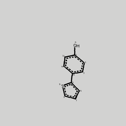 Oc1ccc(-c2cc[c]s2)cc1